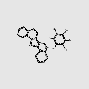 [2H]c1c([2H])c([2H])c(Nc2cc3c4ccc5ccccc5c4oc3c3ccccc23)c([2H])c1[2H]